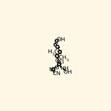 Cc1c(COc2cc(OCc3cncc(C#N)c3)c(CNCCO)cc2Cl)cccc1-c1cccc(-c2ccc3c(c2)CCC3N2CCC(O)C2)c1C